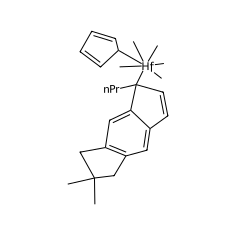 CCC[C]1([Hf]([CH3])([CH3])([CH3])([CH3])([CH3])[CH]2C=CC=C2)C=Cc2cc3c(cc21)CC(C)(C)C3